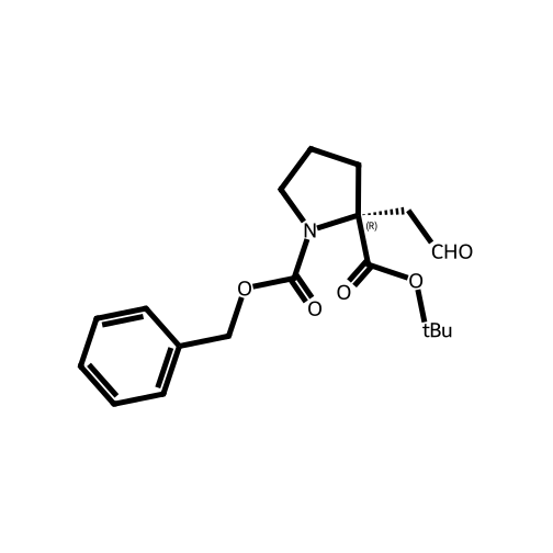 CC(C)(C)OC(=O)[C@]1(CC=O)CCCN1C(=O)OCc1ccccc1